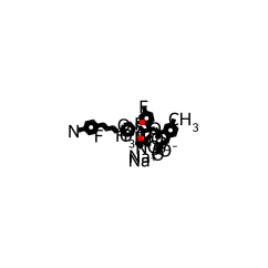 Cc1ccc(COP(=O)([O-])[O-])c(C(=O)O[C@@](Cn2cncn2)(c2ccc(F)cc2F)[C@@H](C)S[C@H]2CO[C@H](C=CC=Cc3ccc(C#N)cc3F)OC2)c1.[Na+].[Na+]